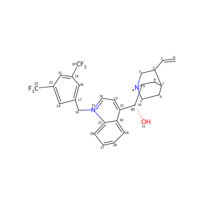 C=CC1CN2CCC1CC2[C@H](O)c1cc[n+](Cc2cc(C(F)(F)F)cc(C(F)(F)F)c2)c2ccccc12